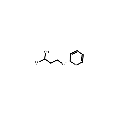 CC(O)CCO[C@@H]1C=CC=CO1